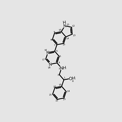 OC(CNc1cc(-c2ccc3[nH]ccc3c2)ncn1)c1ccccc1